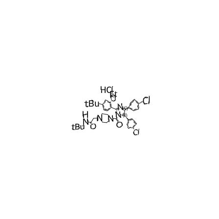 CCOc1cc(C(C)(C)C)ccc1C1=N[C@@H](c2ccc(Cl)cc2)[C@@H](c2ccc(Cl)cc2)N1C(=O)N1CCN(CC(=O)NC(C)(C)C)CC1.Cl